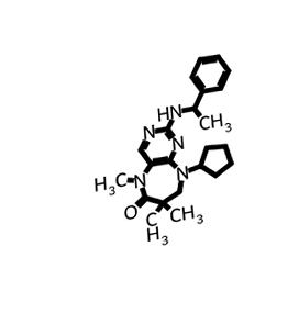 CC(Nc1ncc2c(n1)N(C1CCCC1)CC(C)(C)C(=O)N2C)c1ccccc1